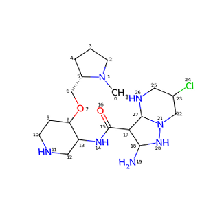 CN1CCC[C@H]1COC1CCNCC1NC(=O)C1C(N)NN2CC(Cl)CNC12